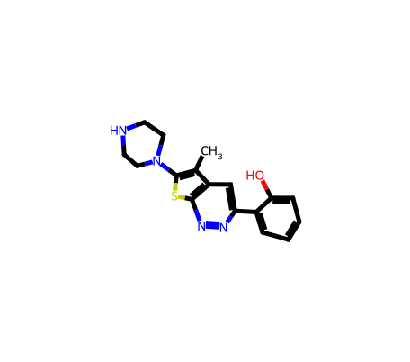 Cc1c(N2CCNCC2)sc2nnc(-c3ccccc3O)cc12